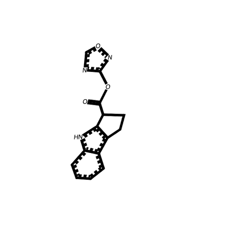 O=C(Oc1ncon1)C1CCc2c1[nH]c1ccccc21